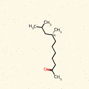 CC(=O)CCCCC[C@@H](C)CC(C)C